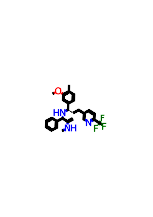 C=C(NC)[C@H](N[C@@H](CCc1ccc(C(F)(F)F)nc1)c1ccc(C)c(OC)c1)c1ccccc1